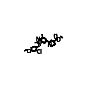 CCOC(=O)c1ccnc(-c2cc(C)c3nc(C)n(Cc4ccc(OCC)cc4Cl)c3c2)c1